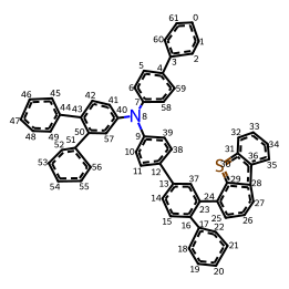 c1ccc(-c2ccc(N(c3ccc(-c4ccc(-c5ccccc5)c(-c5cccc6c5sc5ccccc56)c4)cc3)c3ccc(-c4ccccc4)c(-c4ccccc4)c3)cc2)cc1